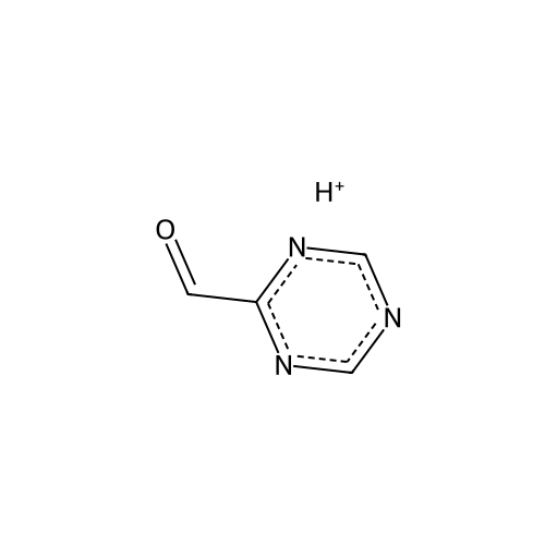 O=Cc1ncncn1.[H+]